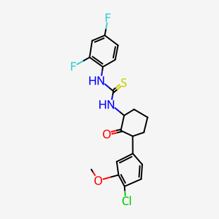 COc1cc(C2CCCC(NC(=S)Nc3ccc(F)cc3F)C2=O)ccc1Cl